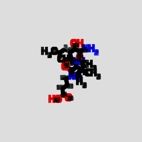 CC(C)C[C@@H](C(=O)N[C@H](C(=O)NCCCC(=O)O)C(C)(C)C)C(O)C(N)=O